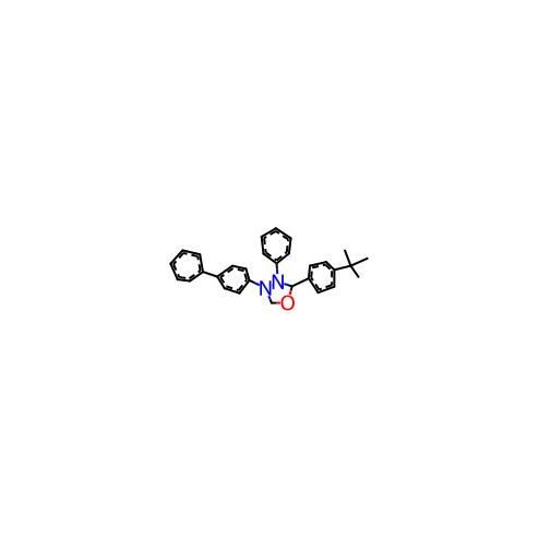 CC(C)(C)c1ccc(C2OCN(c3ccc(-c4ccccc4)cc3)N2c2ccccc2)cc1